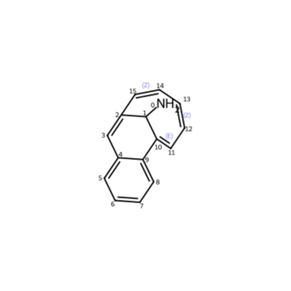 NC1C2=Cc3ccccc3\C1=C/C=C\C=C/2